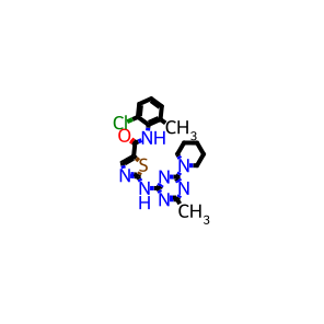 Cc1nc(Nc2ncc(C(=O)Nc3c(C)cccc3Cl)s2)nc(N2CCCCC2)n1